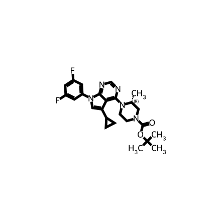 C[C@@H]1CN(C(=O)OC(C)(C)C)CCN1c1ncnc2c1c(C1CC1)cn2-c1cc(F)cc(F)c1